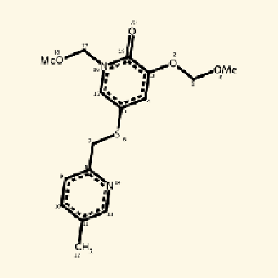 COCOc1cc(SCc2ccc(C)cn2)cn(COC)c1=O